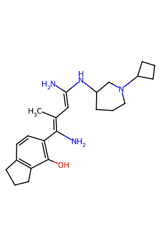 CC(/C=C(\N)NC1CCCN(C2CCC2)C1)=C(/N)c1ccc2c(c1O)CCC2